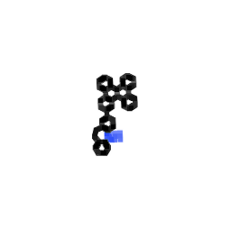 C1=C(c2ccc3c(c2)CCc2ccccc2N3)CCC2=C1C1c3ccccc3-c3ccccc3C1c1ccccc12